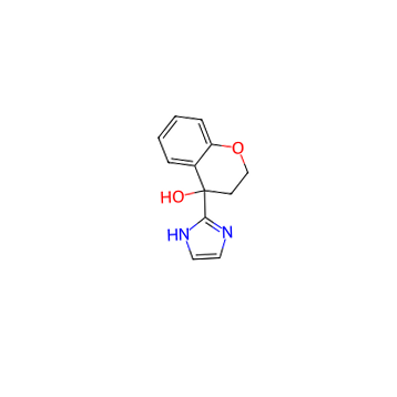 OC1(c2ncc[nH]2)CCOc2ccccc21